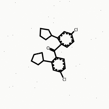 O=C(c1ccc(Cl)cc1C1CCCC1)c1ccc(Cl)cc1C1CCCC1